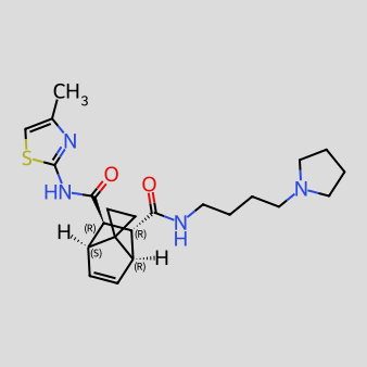 Cc1csc(NC(=O)[C@H]2[C@H](C(=O)NCCCCN3CCCC3)[C@H]3C=C[C@@H]2C32CC2)n1